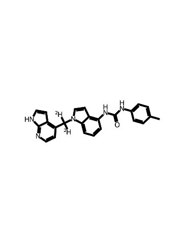 [2H]C([2H])(c1ccnc2[nH]ccc12)n1ccc2c(NC(=O)Nc3ccc(C)cc3)cccc21